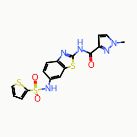 Cn1ccc(C(=O)Nc2nc3ccc(NS(=O)(=O)c4cccs4)cc3s2)n1